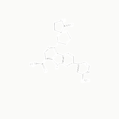 COc1cc(-c2ccc3c(c2)[nH]c2c(C(N)=O)cnc(N4CCC[C@@]5(CCNC5=O)C4)c23)ccn1